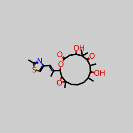 C/C(=C\c1csc(C)n1)C1OC(=O)CC(O)C(C)(C)C(=O)C(C)C(O)C(C)CCCC2(C)OC12